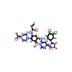 C=CC(=O)Nc1cc(Nc2cc(N3OCC[C@@H]3c3ccc(Cl)c(Cl)c3)ncn2)c(OC)cc1N1CCN(C(C)=O)CC1